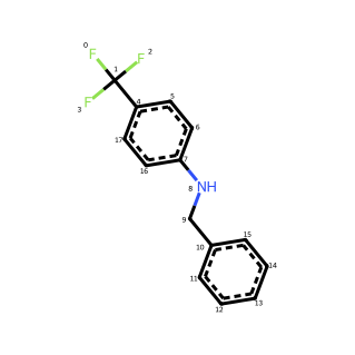 FC(F)(F)c1ccc(NCc2ccccc2)cc1